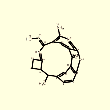 CC1c2ccc3oc4nc(N)c(cc4c(=O)c3c2)C(=N/O)/N=C2\CCC21